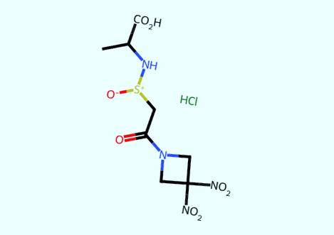 CC(N[S+]([O-])CC(=O)N1CC([N+](=O)[O-])([N+](=O)[O-])C1)C(=O)O.Cl